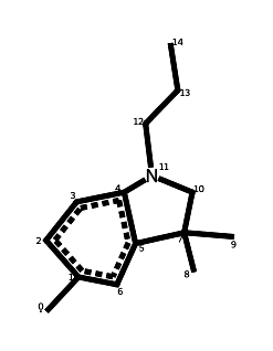 [CH2]c1ccc2c(c1)C(C)(C)CN2CCC